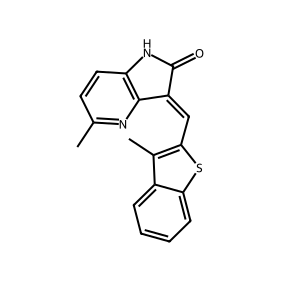 Cc1ccc2c(n1)C(=Cc1sc3ccccc3c1C)C(=O)N2